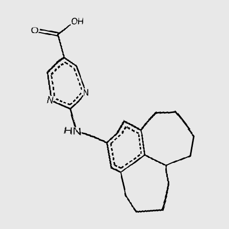 O=C(O)c1cnc(Nc2cc3c4c(c2)CCCCC4CCCC3)nc1